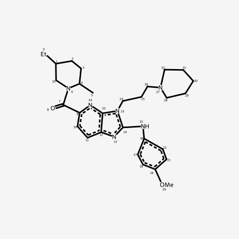 CCC1CCC(C)N(C(=O)c2ccc3nc(Nc4ccc(OC)cc4)n(CCCN4CCCCC4)c3n2)C1